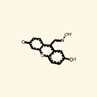 O=c1ccc2c(C=NO)c3cc(O)ccc3oc-2c1